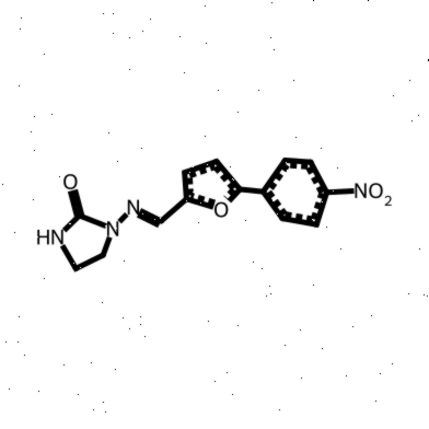 O=C1NCCN1N=Cc1ccc(-c2ccc([N+](=O)[O-])cc2)o1